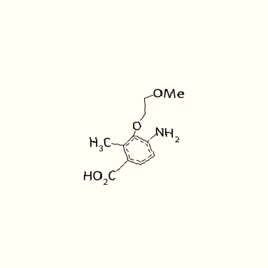 COCCOc1c(N)ccc(C(=O)O)c1C